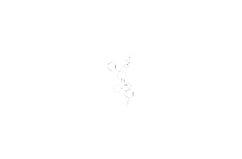 CC(C)(C)[Si](C)(C)OCC1(c2ccccc2)CCN(C(=O)C2(c3cccc(F)c3)CCCC2)CC1